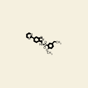 CCc1ccc(OC)c(S(=O)(=O)Nc2noc3cc(-c4ncccn4)ccc23)c1